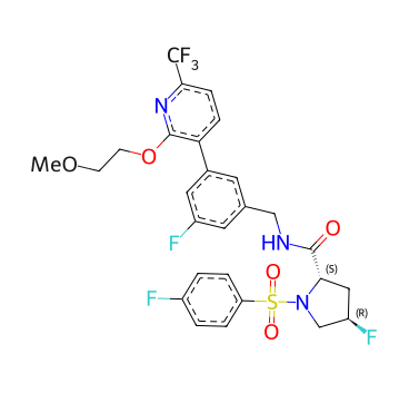 COCCOc1nc(C(F)(F)F)ccc1-c1cc(F)cc(CNC(=O)[C@@H]2C[C@@H](F)CN2S(=O)(=O)c2ccc(F)cc2)c1